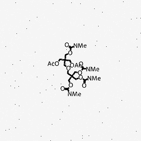 CNC(=O)OCC(COCC(COC(=O)NC)(COC(=O)NC)COC(=O)NC)(COC(C)=O)COC(C)=O